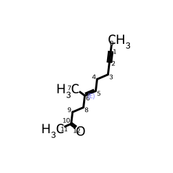 CC#CCC/C=C(\C)CCC(C)=O